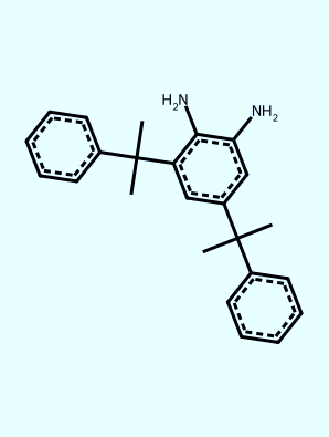 CC(C)(c1ccccc1)c1cc(N)c(N)c(C(C)(C)c2ccccc2)c1